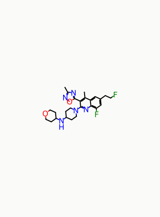 Cc1noc(-c2c(N3CCC(NC4CCOCC4)CC3)nc3c(F)cc(CCF)cc3c2C)n1